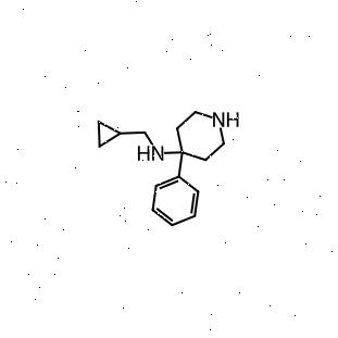 c1ccc(C2(NCC3CC3)CCNCC2)cc1